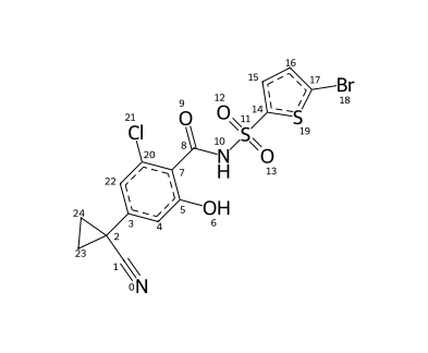 N#CC1(c2cc(O)c(C(=O)NS(=O)(=O)c3ccc(Br)s3)c(Cl)c2)CC1